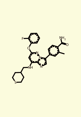 Cc1cc(-c2cnc3c(NCC4CCSCC4)cc(Oc4ccccc4F)nn23)ccc1C(N)=O